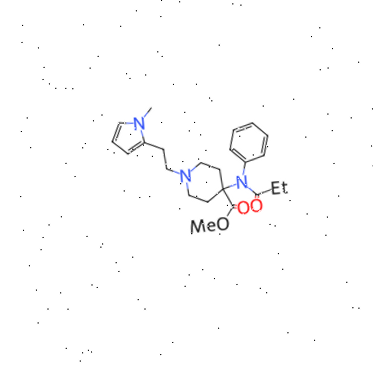 CCC(=O)N(c1ccccc1)C1(C(=O)OC)CCN(CCc2cccn2C)CC1